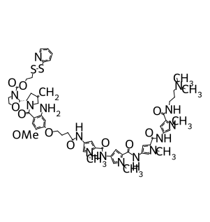 C=C1C[C@@H](C2OCCN2C(=O)OCCSSc2ccccn2)N(C(=O)c2cc(OC)c(OCCCC(=O)Nc3cc(C(=O)Nc4cc(C(=O)Nc5cc(C(=O)Nc6cc(C(=O)NCCCN(C)C)n(C)c6)n(C)c5)n(C)c4)n(C)c3)cc2N)C1